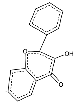 O=c1c(O)c(-c2ccccc2)oc2c[c]c[c]c12